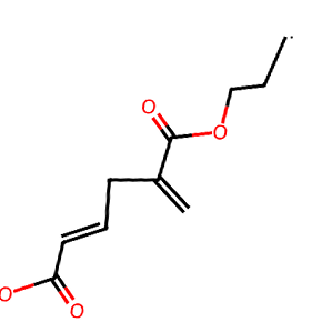 [CH2]CCOC(=O)C(=C)CC=CC(=O)O